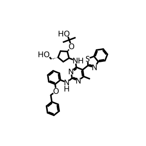 Cc1nc(Nc2ccccc2OCc2ccccc2)nc(NC2C[C@H](CO)C[C@H]2OC(C)(C)O)c1-c1nc2ccccc2s1